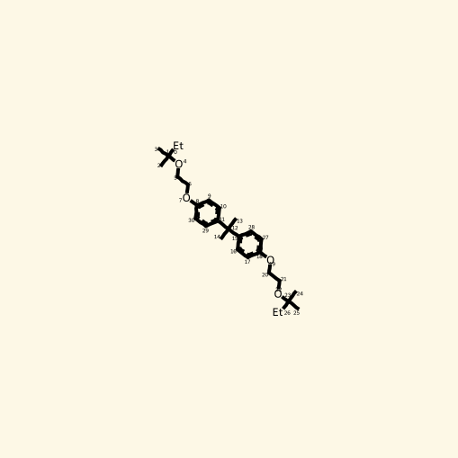 CCC(C)(C)OCCOc1ccc(C(C)(C)c2ccc(OCCOC(C)(C)CC)cc2)cc1